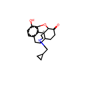 O=C1CCC2C3Cc4ccc(O)c5c4[C@]2(CCN3CC2CC2)C1O5